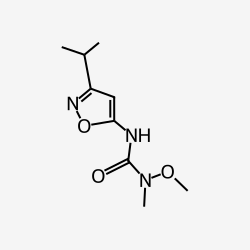 CON(C)C(=O)Nc1cc(C(C)C)no1